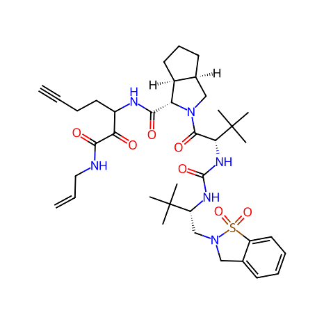 C#CCCC(NC(=O)[C@@H]1[C@H]2CCC[C@H]2CN1C(=O)[C@@H](NC(=O)N[C@H](CN1Cc2ccccc2S1(=O)=O)C(C)(C)C)C(C)(C)C)C(=O)C(=O)NCC=C